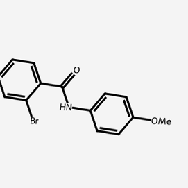 COc1ccc(NC(=O)c2ccccc2Br)cc1